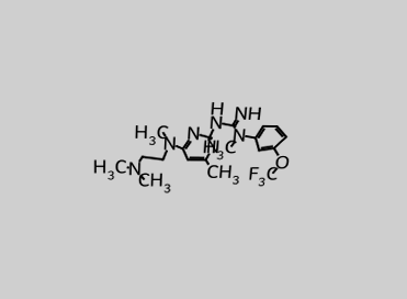 Cc1cc(N(C)CCN(C)C)nc(NC(=N)N(C)c2cccc(OC(F)(F)F)c2)n1